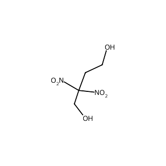 O=[N+]([O-])C(CO)(CCO)[N+](=O)[O-]